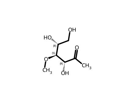 CO[C@@H]([C@H](O)CO)[C@@H](O)C(C)=O